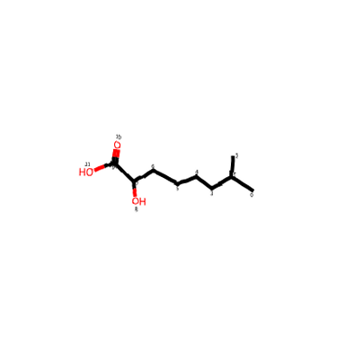 CC(C)CCCCC(O)C(=O)O